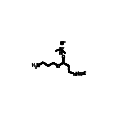 CCCCCCCCCC(=O)OCCCN.C[NH+](C)[O-]